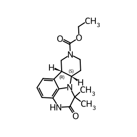 CCOC(=O)N1CC[C@H]2[C@@H](C1)c1cccc3c1N2C(C)(C)C(=O)N3